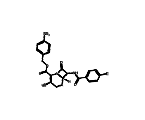 O=C(OCc1ccc([N+](=O)[O-])cc1)C1=C(O)CS[C@H]2C(NC(=O)c3ccc(Cl)cc3)C(=O)N12